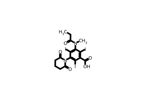 CCC(=O)N(C)c1c(I)c(C(=O)O)c(I)c(N2C(=O)CCCC2=O)c1I